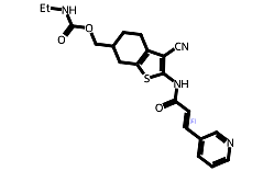 CCNC(=O)OCC1CCc2c(sc(NC(=O)/C=C/c3cccnc3)c2C#N)C1